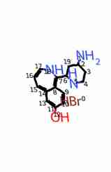 Br.NC1CCNC(C2=c3ccc(O)cc3=CC=CN2)C1